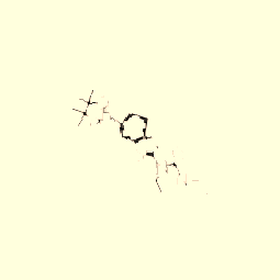 CCN(C(N)=O)c1nc2ccc(B3OC(C)(C)C(C)(C)O3)cc2s1